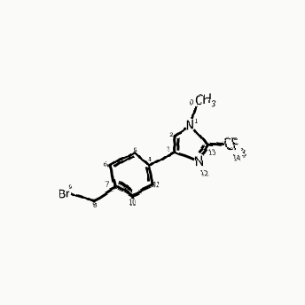 Cn1cc(-c2ccc(CBr)cc2)nc1C(F)(F)F